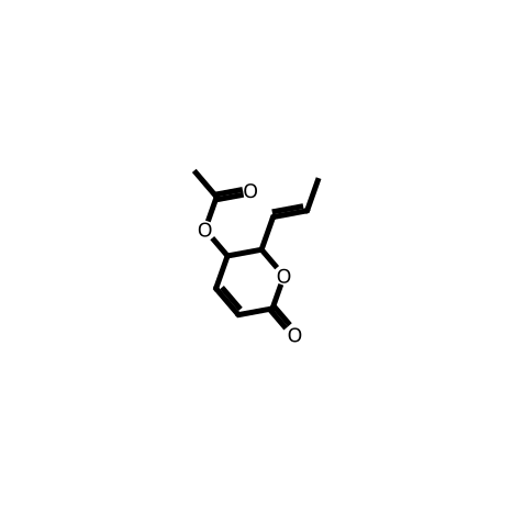 CC=CC1OC(=O)C=CC1OC(C)=O